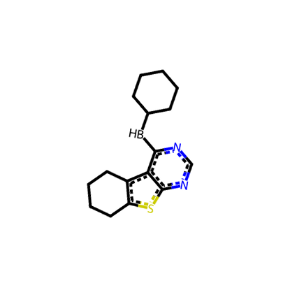 B(c1ncnc2sc3c(c12)CCCC3)C1CCCCC1